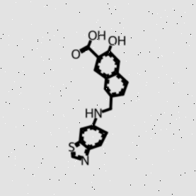 O=C(O)c1cc2cc(CNc3ccc4ncsc4c3)ccc2cc1O